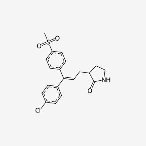 CS(=O)(=O)c1ccc(/C(=C\CC2CCNC2=O)c2ccc(Cl)cc2)cc1